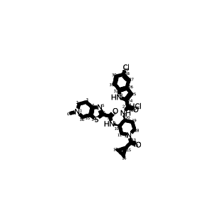 CN1CCc2nc(C(=O)N[C@@H]3CN(C(=O)C4CC4)CC[C@@H]3NC(=O)c3cc4cc(Cl)ccc4[nH]3)sc2C1.Cl